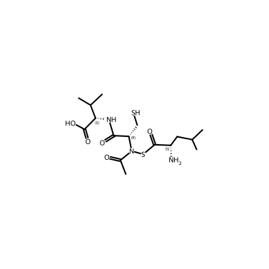 CC(=O)N(SC(=O)[C@@H](N)CC(C)C)[C@@H](CS)C(=O)N[C@H](C(=O)O)C(C)C